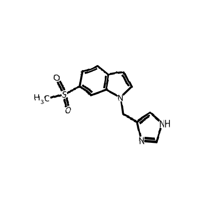 CS(=O)(=O)c1ccc2ccn(Cc3c[nH]cn3)c2c1